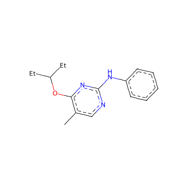 CCC(CC)Oc1nc(Nc2ccccc2)ncc1C